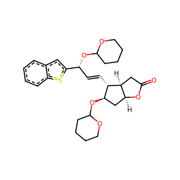 O=C1C[C@@H]2[C@@H](/C=C/[C@@H](OC3CCCCO3)c3cc4ccccc4s3)[C@H](OC3CCCCO3)C[C@@H]2O1